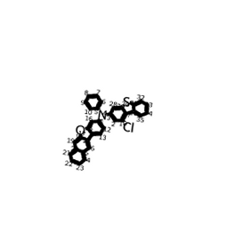 Clc1cc(N(c2ccccc2)c2ccc3c(c2)oc2cc4ccccc4cc23)cc2sc3ccccc3c12